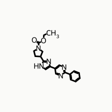 CCOC(=O)N1CCC(c2nc(-c3cnc(-c4ccccc4)nc3)c[nH]2)C1